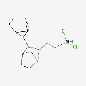 Cl[SiH](Cl)CCC1C2CCC(C2)C1C1CC2CCC1C2